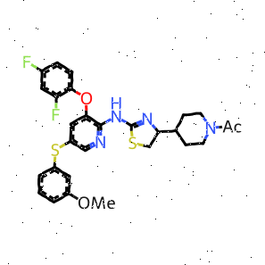 COc1cccc(Sc2cnc(NC3=NC(C4CCN(C(C)=O)CC4)CS3)c(Oc3ccc(F)cc3F)c2)c1